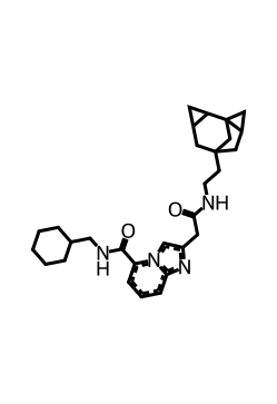 O=C(Cc1cn2c(C(=O)NCC3CCCCC3)cccc2n1)NCCC12CC3CC3C3(CC3C1)C2